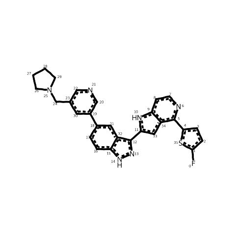 Fc1ccc(-c2nccc3[nH]c(-c4n[nH]c5ccc(-c6cncc(CN7CCCC7)c6)cc45)cc23)s1